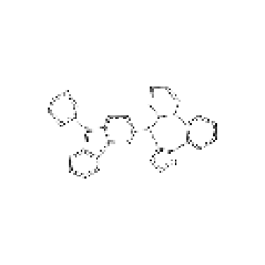 C1=CC2c3ccccc3-c3occc3N(c3ccc4c(c3)c3ccccc3n4-c3ccccc3)C2C=C1